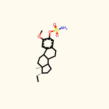 CC[C@H]1CCC2C3CCc4cc(OS(N)(=O)=O)c(OC)cc4C3CC[C@@]21C